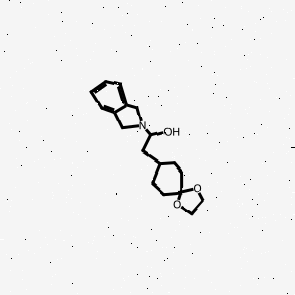 OC(CC1CCC2(CC1)OCCO2)N1Cc2ccccc2C1